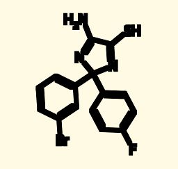 NC1=NC(c2ccc(F)cc2)(c2cccc(Br)c2)N=C1S